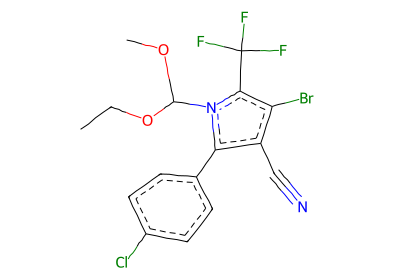 CCOC(OC)n1c(-c2ccc(Cl)cc2)c(C#N)c(Br)c1C(F)(F)F